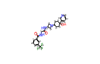 O=C(CNC(=O)c1cccc(C(F)(F)F)c1)NC1CN(C2CCC(O)(c3cccnc3)CC2)C1